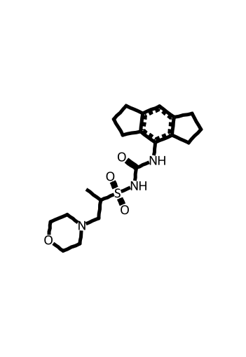 CC(CN1CCOCC1)S(=O)(=O)NC(=O)Nc1c2c(cc3c1CCC3)CCC2